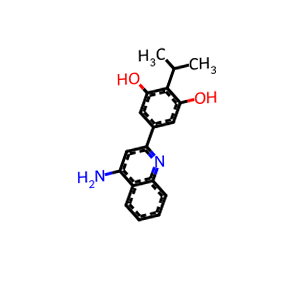 CC(C)c1c(O)cc(-c2cc(N)c3ccccc3n2)cc1O